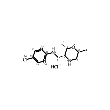 C[C@@H]1O[C@@H](C)CN[C@@H]1CNc1ncc(Cl)cn1.Cl